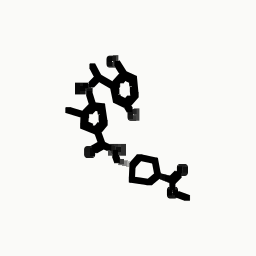 COC(=O)[C@H]1CC[C@H](CNC(=O)c2ccc(NC(C)c3cc(Cl)ccc3Cl)c(C)c2)CC1